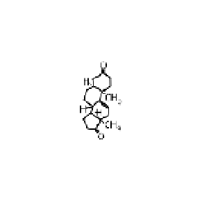 C[C@]12CCC(=O)C[C@@H]1CC[C@@H]1C2=CC[C@]2(C)C(=O)CC[C@@H]12